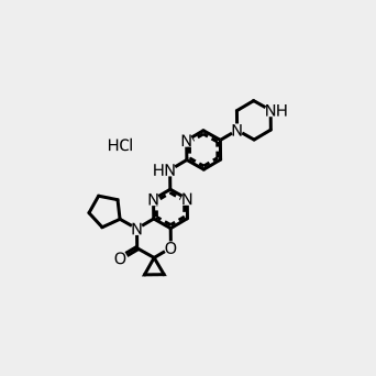 Cl.O=C1N(C2CCCC2)c2nc(Nc3ccc(N4CCNCC4)cn3)ncc2OC12CC2